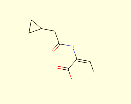 CC=C(NC(=O)CC1CC1)C(=O)O